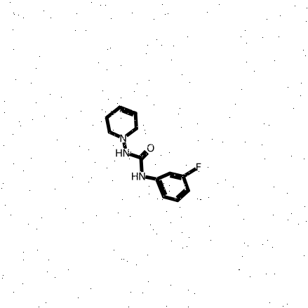 O=C(Nc1cccc(F)c1)NN1CC=CCC1